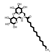 CCCCCCCCCCCCCC(=O)OC[C@H]1O[C@@H](O[C@H]2[C@H](O)[C@@H](O)[C@@H](O)O[C@@H]2CO)[C@H](O)[C@@H](O)[C@H]1O